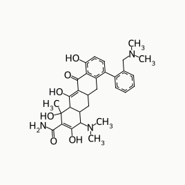 CN(C)Cc1ccccc1-c1ccc(O)c2c1CC1CC3C(N(C)C)C(O)=C(C(N)=O)C(C)(O)C3C(O)=C1C2=O